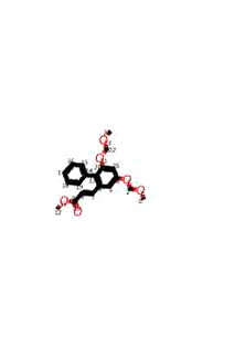 COCOc1cc(C=CC(=O)OC)c(-c2ccccc2)c(OCOC)c1